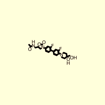 CC(=O)NCC1CN(c2ccc(-c3ccc(N4CCC(O)(CO)CC4)c(F)c3)c(F)c2)C(=O)O1